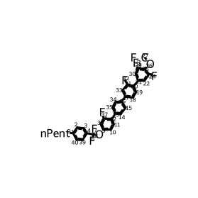 CCCCCc1ccc(C(F)(F)Oc2ccc(-c3ccc(-c4ccc(-c5cc(F)c(OC(F)(F)F)c(F)c5)c(F)c4)cc3)c(F)c2)cc1